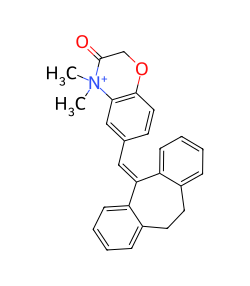 C[N+]1(C)C(=O)COc2ccc(C=C3c4ccccc4CCc4ccccc43)cc21